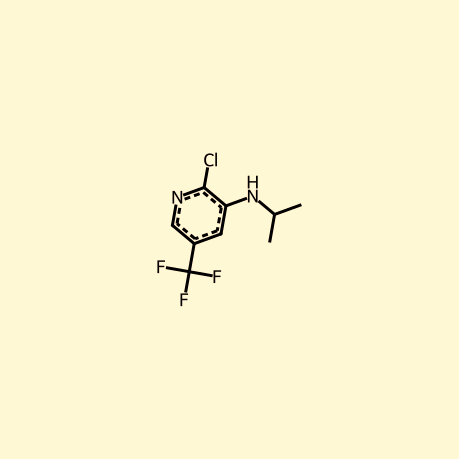 CC(C)Nc1cc(C(F)(F)F)cnc1Cl